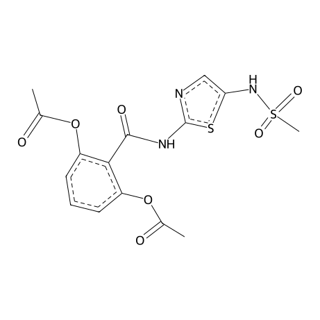 CC(=O)Oc1cccc(OC(C)=O)c1C(=O)Nc1ncc(NS(C)(=O)=O)s1